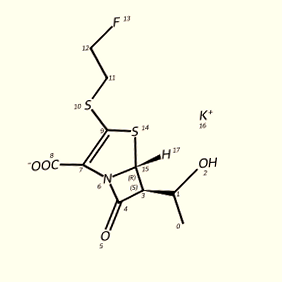 CC(O)[C@H]1C(=O)N2C(C(=O)[O-])=C(SCCF)S[C@H]12.[K+]